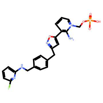 Nc1c(-c2cc(Cc3ccc(CNc4cccc(F)n4)cc3)no2)ccc[n+]1COP(=O)([O-])O